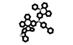 c1ccc(-c2ccc(N(c3ccc4c(c3)-c3ccccc3-c3ccccc3N4c3ccccc3)c3ccc4c(c3)-c3ccccc3-c3ccccc3C43c4ccccc4-c4c3ccc3oc5ccccc5c43)cc2)cc1